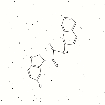 O=C(Nc1ccc2ccccc2c1)C(=O)C1CSc2ccc(Cl)cc21